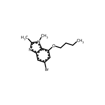 CCCCOc1cc(Br)cc2nc(C)n(C)c12